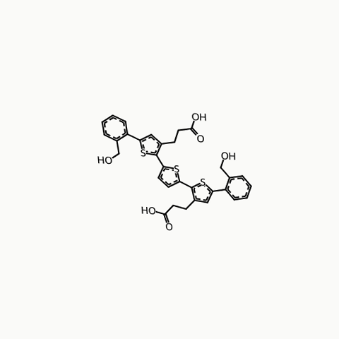 O=C(O)CCc1cc(-c2ccccc2CO)sc1-c1ccc(-c2sc(-c3ccccc3CO)cc2CCC(=O)O)s1